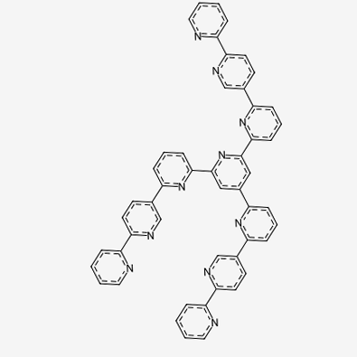 c1ccc(-c2ccc(-c3cccc(-c4cc(-c5cccc(-c6ccc(-c7ccccn7)nc6)n5)nc(-c5cccc(-c6ccc(-c7ccccn7)nc6)n5)c4)n3)cn2)nc1